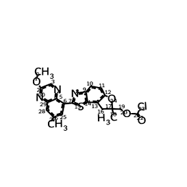 COc1cnc2c(-c3nc4ccc5c(c4s3)CC(C)(COC(=O)Cl)O5)cc(C)cc2n1